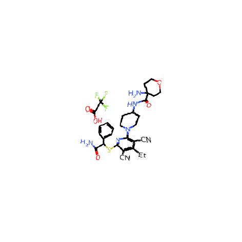 CCc1c(C#N)c(SC(C(N)=O)c2ccccc2)nc(N2CCC(NC(=O)C3(N)CCOCC3)CC2)c1C#N.O=C(O)C(F)(F)F